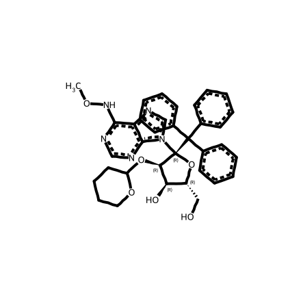 CONc1ncnc2c1ncn2[C@]1(C(c2ccccc2)(c2ccccc2)c2ccccc2)O[C@H](CO)[C@@H](O)[C@H]1OC1CCCCO1